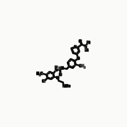 CCN(CC)C(=O)c1cc(Oc2ccc(CNC(=O)Nc3cc(C)c(Cl)cc3OCCNC)cc2C)ccn1